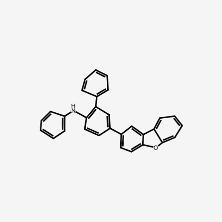 c1ccc(Nc2ccc(-c3ccc4oc5ccccc5c4c3)cc2-c2ccccc2)cc1